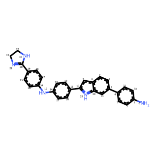 Nc1ccc(-c2ccc3cc(-c4ccc(Nc5ccc(C6=NCCN6)cc5)cc4)[nH]c3c2)cc1